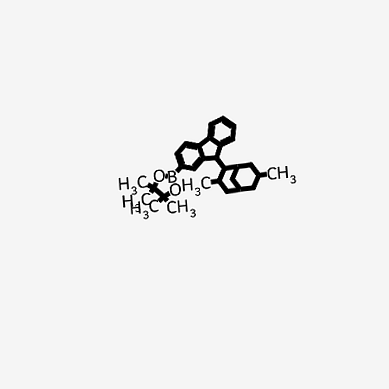 CC1CC2CC(C)C(C3c4ccccc4-c4ccc(B5OC(C)(C)C(C)(C)O5)cc43)C(C1)C2